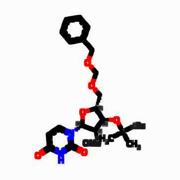 CO[C@@H]1[C@H](O[Si](C)(C)C(C)(C)C)[C@@H](COCOCc2ccccc2)O[C@H]1n1ccc(=O)[nH]c1=O